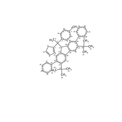 Cc1ccc(C(C)(C2=CC=CC2)C2c3cc(-c4ccccc4)c(C(C)(C)C)cc3-c3cc(C(C)(C)C)c(-c4ccccc4)cc32)cc1